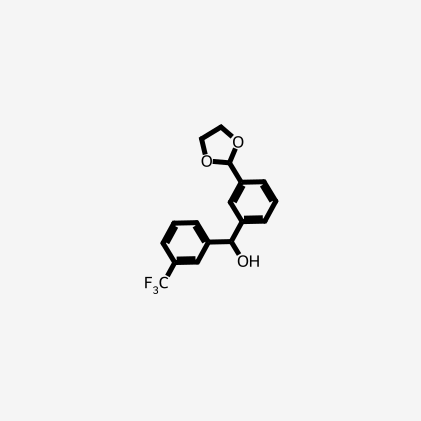 OC(c1cccc(C2OCCO2)c1)c1cccc(C(F)(F)F)c1